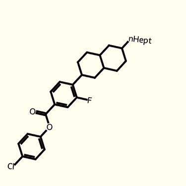 CCCCCCCC1CCC2CC(c3ccc(C(=O)Oc4ccc(Cl)cc4)cc3F)CCC2C1